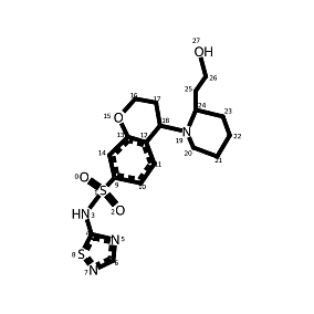 O=S(=O)(Nc1ncns1)c1ccc2c(c1)OCCC2N1CCCCC1CCO